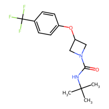 CC(C)(C)NC(=O)N1CC(Oc2ccc(C(F)(F)F)cc2)C1